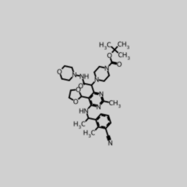 Cc1nc(NC(C)c2cccc(C#N)c2C)c(C2OCCO2)c(C(C(=O)NN2CCOCC2)N2CCN(C(=O)OC(C)(C)C)CC2)n1